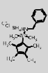 CC1=C(C)C(C)[C]([Zr+2]([CH3])([CH3])[NH]Cc2ccccc2)=C1C.[Cl-].[Cl-].[SiH4]